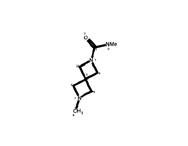 CNC(=O)N1CC2(CN(C)C2)C1